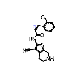 N#Cc1c(NC(=O)/C=C\c2ccccc2Cl)sc2c1CCNC2